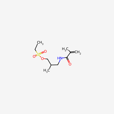 C=C(C)C(=O)NCC(C)COS(=O)(=O)CC